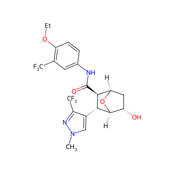 CCOc1ccc(NC(=O)[C@@H]2[C@@H](c3cn(C)nc3C(F)(F)F)[C@H]3O[C@@H]2C[C@@H]3O)cc1C(F)(F)F